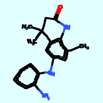 Cc1cc(Nc2ccccc2N)cc2c1NC(=O)CC2(C)C